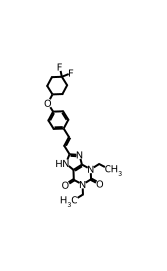 CCn1c(=O)c2[nH]c(C=Cc3ccc(OC4CCC(F)(F)CC4)cc3)nc2n(CC)c1=O